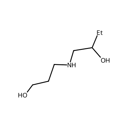 CCC(O)CNCCCO